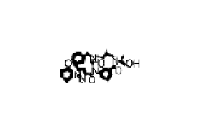 Cc1cc(C(=O)Nc2cccc3c2O[C@@H](CN(C)Cc2ccc(Oc4ccccc4)cc2)[C@H](C)CN([C@@H](C)CO)C3=O)n(C)n1